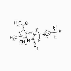 CC(=O)N1CC(C)(C)c2nc(N)c(C(F)(F)C34CC(C(F)(F)F)(C3)C4)cc21